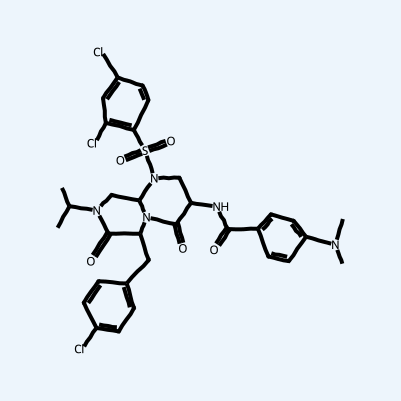 CC(C)N1CC2N(C(=O)C(NC(=O)c3ccc(N(C)C)cc3)CN2S(=O)(=O)c2ccc(Cl)cc2Cl)C(Cc2ccc(Cl)cc2)C1=O